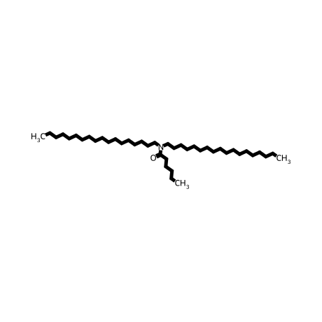 CCCCCCCCCCCCCCCCCCN(CCCCCCCCCCCCCCCCCC)C(=O)CCCCC